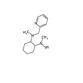 CC(C)N(C)C1CCCCC1N(C)Cc1ccccn1